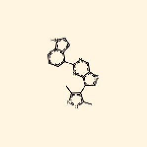 Cc1noc(C)c1-c1csc2cnc(-c3cccc4[nH]ccc34)nc12